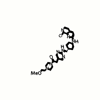 COCCN1CCN(C(=O)Cc2cnc(NC[C@H]3CC[C@H](Nc4ccc5ccnc(Cl)c5n4)CC3)nc2)CC1